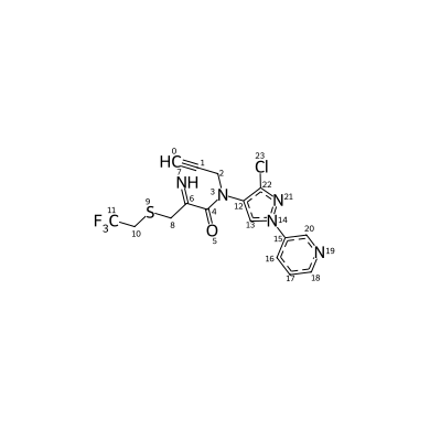 C#CCN(C(=O)C(=N)CSCC(F)(F)F)c1cn(-c2cccnc2)nc1Cl